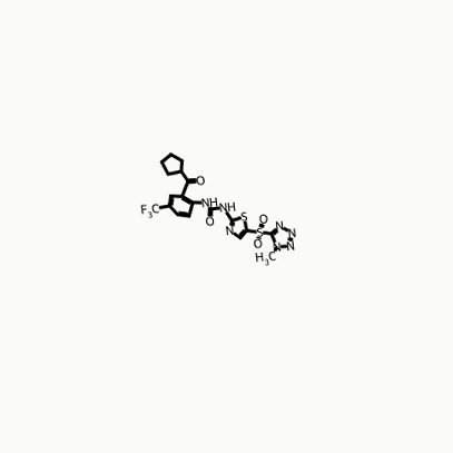 Cn1nnnc1S(=O)(=O)c1cnc(NC(=O)Nc2ccc(C(F)(F)F)cc2C(=O)C2CCCC2)s1